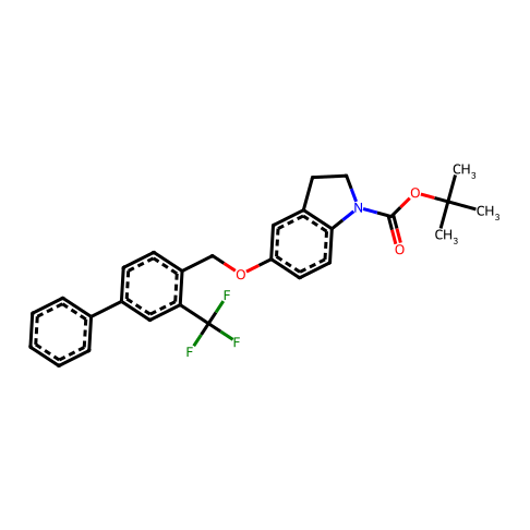 CC(C)(C)OC(=O)N1CCc2cc(OCc3ccc(-c4ccccc4)cc3C(F)(F)F)ccc21